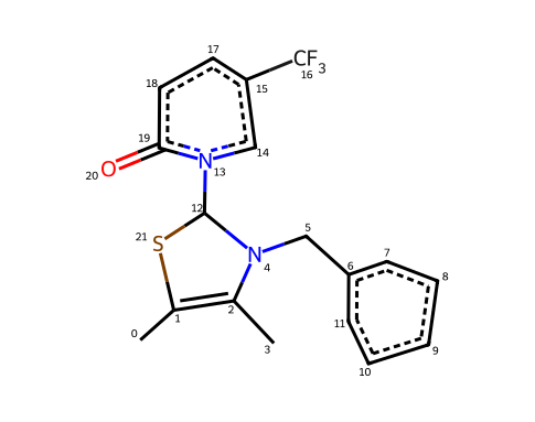 CC1=C(C)N(Cc2ccccc2)C(n2cc(C(F)(F)F)ccc2=O)S1